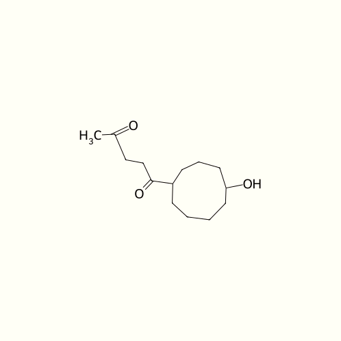 CC(=O)CCC(=O)C1CCCCC(O)CCC1